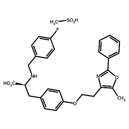 CS(=O)(=O)O.Cc1oc(-c2ccccc2)nc1CCOc1ccc(C[C@H](NCc2ccc(F)cc2)C(=O)O)cc1